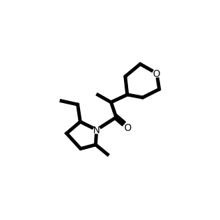 CCC1CCC(C)N1C(=O)C(C)C1CCOCC1